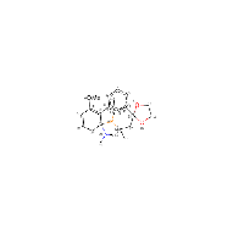 COC1=C(c2ccccc2)C(N(C)C)(P2C(C)(C)CC3(CC2(C)C)OCCO3)CC=C1